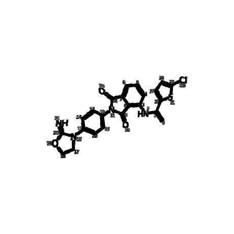 C=C(Nc1cccc2c1C(=O)N(c1ccc(N3CCOC3=N)cc1)C2=O)c1ccc(Cl)s1